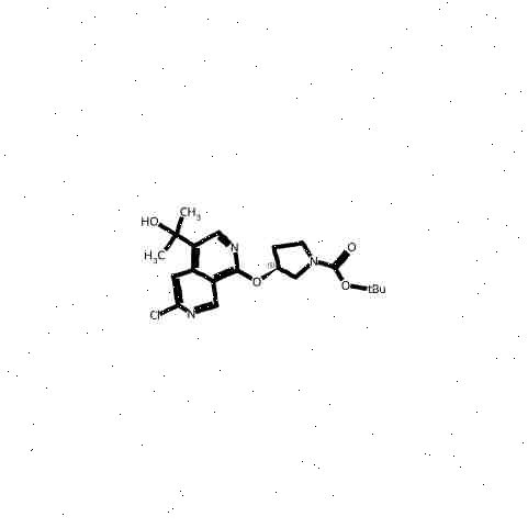 CC(C)(C)OC(=O)N1CC[C@H](Oc2ncc(C(C)(C)O)c3cc(Cl)ncc23)C1